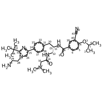 CC(C)Oc1ccc(C(=O)N[C@H](CNC(=O)CN(C)C)Cc2ccc(-c3cn(CCN)c(C(C)(C)C)n3)cc2)cc1C#N